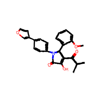 COc1ccccc1C1C(C(=O)C(C)C)=C(O)C(=O)N1c1ccc(-c2ccoc2)cc1